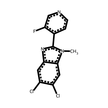 Cn1c(-c2ccncc2F)nc2cc(Cl)c(Cl)cc21